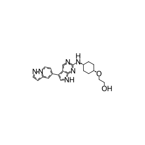 OCCO[C@H]1CC[C@@H](Nc2ncc3c(-c4ccn5nccc5c4)c[nH]c3n2)CC1